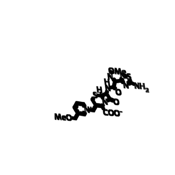 COCc1ccc[n+](CC2=C(C(=O)[O-])N3C(=O)C(NC(=O)C(=NOC)c4nsc(N)n4)[C@@H]3SC2)c1